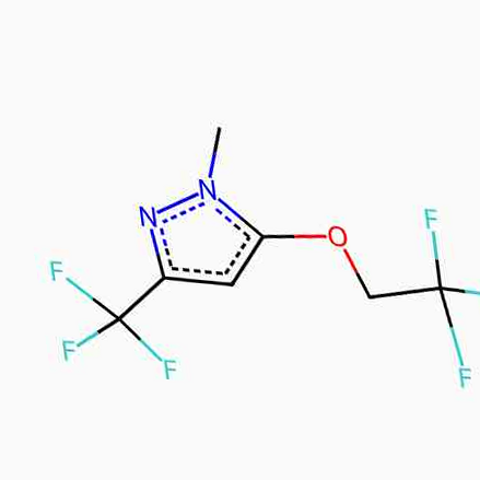 Cn1nc(C(F)(F)F)cc1OCC(F)(F)F